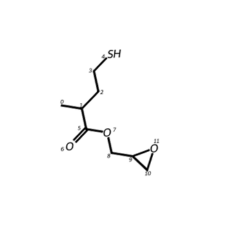 CC(CCS)C(=O)OCC1CO1